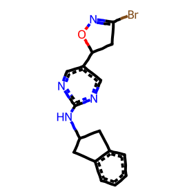 BrC1=NOC(c2cnc(NC3Cc4ccccc4C3)nc2)C1